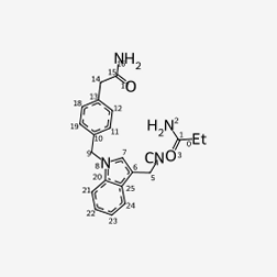 CCC(N)=O.N#CCc1cn(Cc2ccc(CC(N)=O)cc2)c2ccccc12